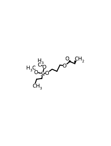 C=CC(=O)OCCCO[Si](CCC)(OC)OC